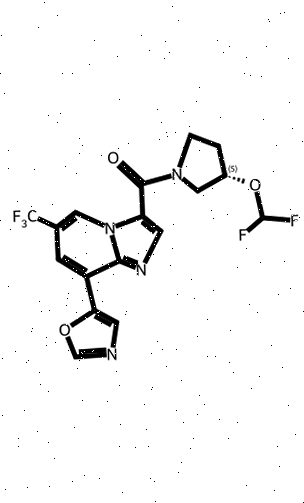 O=C(c1cnc2c(-c3cnco3)cc(C(F)(F)F)cn12)N1CC[C@H](OC(F)F)C1